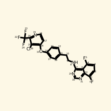 Fc1ccc(F)c2c(NCCc3ccc(Oc4ccnc(C(F)(F)F)c4Cl)cc3)ncnc12